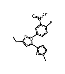 CCc1cc(-c2ccc(C)o2)n(-c2ccc(F)c([N+](=O)[O-])c2)n1